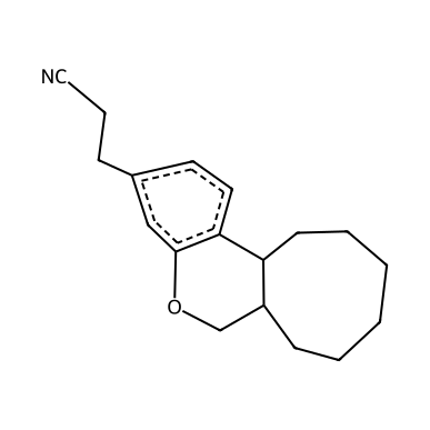 N#CCCc1ccc2c(c1)OCC1CCCCCCC21